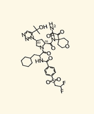 CC(C)(O)c1cnnn1[C@H]1C[C@@H](C(=O)NC2(C(=O)C(N)=O)CCOCC2)N(C(=O)C(CC2CCCCC2)NC(=O)c2ccc(S(=O)(=O)CC(F)F)cc2)C1